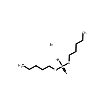 CCCCCOP(=S)(S)OCCCCC.[Zn]